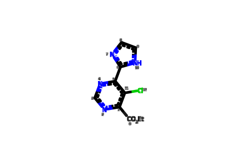 CCOC(=O)c1ncnc(-c2ncc[nH]2)c1Cl